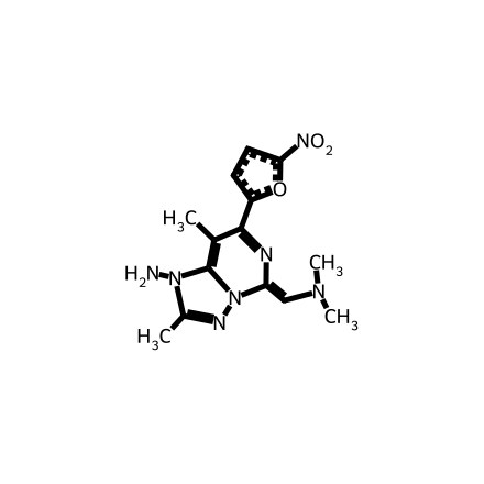 CC1=NN2C(=CN(C)C)N=C(c3ccc([N+](=O)[O-])o3)C(C)=C2N1N